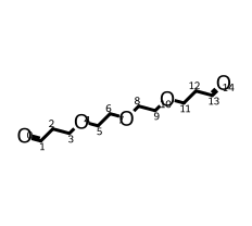 O=CCCOCCOCCOCCC=O